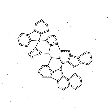 c1ccc2c(c1)-c1ccccc1S21c2ccccc2N2B3c4c(cc5c(oc6ccccc65)c4-n4c5c3cccc5c3ccc5ccccc5c34)-c3cccc1c32